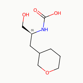 O=C(O)N[C@H](CO)CC1CCCOC1